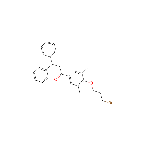 Cc1cc(C(=O)CC(c2ccccc2)c2ccccc2)cc(C)c1OCCCBr